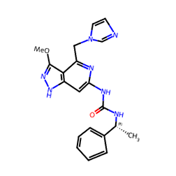 COc1n[nH]c2cc(NC(=O)N[C@H](C)c3ccccc3)nc(Cn3ccnc3)c12